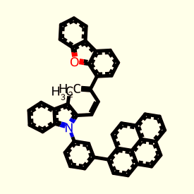 C=C(/C=C\c1c(C)c2ccccc2n1-c1cccc(-c2ccc3ccc4cccc5ccc2c3c45)c1)c1cccc2c1oc1ccccc12